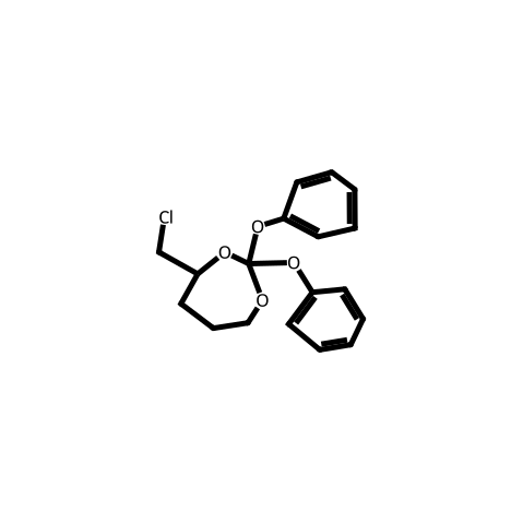 ClCC1CCCOC(Oc2ccccc2)(Oc2ccccc2)O1